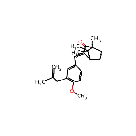 C=C(C)Cc1cc(C=C2C(=O)C3(C)CCC2C3(C)C)ccc1OC